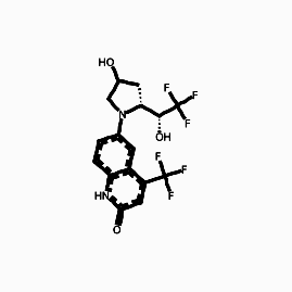 O=c1cc(C(F)(F)F)c2cc(N3CC(O)C[C@@H]3[C@@H](O)C(F)(F)F)ccc2[nH]1